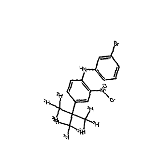 [2H]C([2H])([2H])C(c1ccc(Nc2cccc(Br)c2)c([N+](=O)[O-])c1)(C([2H])([2H])[2H])C([2H])([2H])[2H]